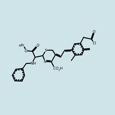 C=c1cc(C)/c(=C\C=C2/CSC(C(NCc3ccccc3)C(=O)OCCC)N=C2C(=O)O)cc1CC(=O)Cl